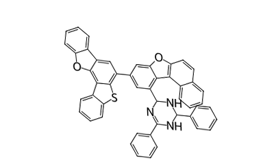 c1ccc(C2=NC(c3cc(-c4cc5c6ccccc6oc5c5c4sc4ccccc45)cc4oc5ccc6ccccc6c5c34)NC(c3ccccc3)N2)cc1